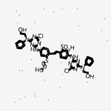 O=S(=O)(O)c1cc(Nc2nc(Cl)nc(N(CCO)c3ccccc3)n2)ccc1/C=C/c1ccc(Nc2nc(Cl)nc(N(CCO)c3ccccc3)n2)cc1SOOO